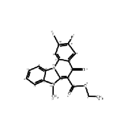 CCOC(=O)c1c(=O)c2cc(F)c(F)cc2n2c3ccccc3n(C)c12